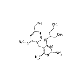 CCC[C@@H](CO)Nc1nc(N)nc(C)c1Cc1ccc(CO)cc1OC